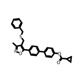 Cc1noc(-c2ccc(-c3ccc(OC(=O)C4CC4)cc3)cc2)c1CSCc1ccccc1